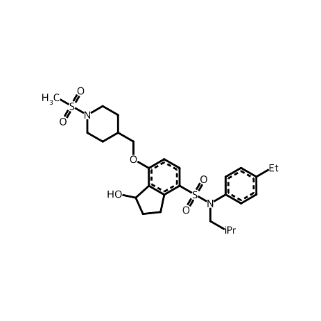 CCc1ccc(N(CC(C)C)S(=O)(=O)c2ccc(OCC3CCN(S(C)(=O)=O)CC3)c3c2CCC3O)cc1